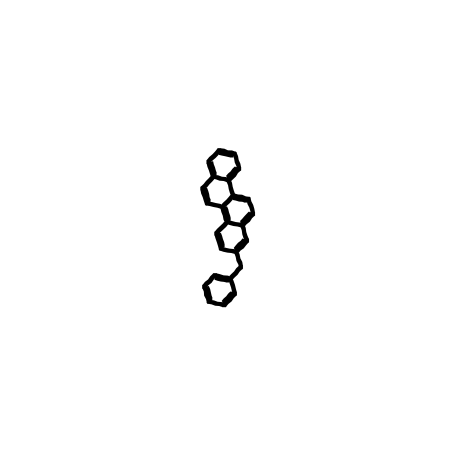 c1ccc(Cc2ccc3c(ccc4c5ccccc5ccc34)c2)cc1